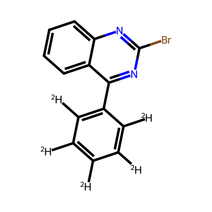 [2H]c1c([2H])c([2H])c(-c2nc(Br)nc3ccccc23)c([2H])c1[2H]